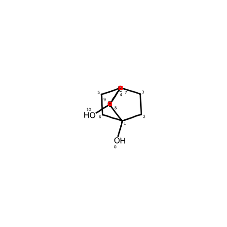 OC12CCC3(CC1)CCC23O